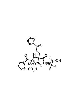 COC(=O)C(CCC(=O)c1cccs1)(N[C@@H](C)C(=O)N1CCC[C@H]1C(=O)O)C(=O)OC.O=C(O)C(F)(F)F